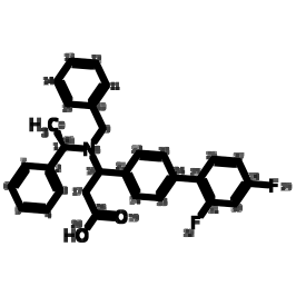 C[C@H](c1ccccc1)N(Cc1ccccc1)C(CC(=O)O)c1ccc(-c2ccc(F)cc2F)cc1